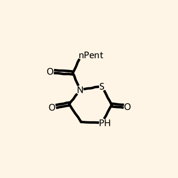 CCCCCC(=O)N1SC(=O)PCC1=O